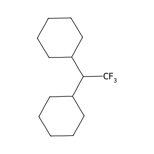 FC(F)(F)C(C1CCCCC1)C1CCCCC1